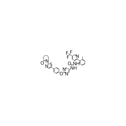 Cc1ccccc1-c1ncc(C(F)(F)F)cc1NC(=O)Nc1cnc(Oc2ccc(-c3cnc(N4CCCCC4=O)s3)cc2)nc1